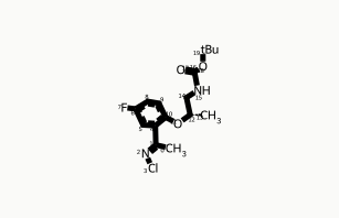 C/C(=N\Cl)c1cc(F)ccc1O[C@@H](C)CNC(=O)OC(C)(C)C